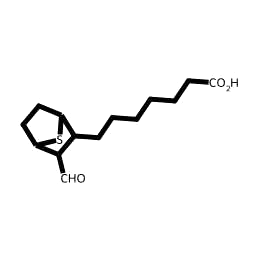 O=CC1C2CCC(S2)C1CCCCCCC(=O)O